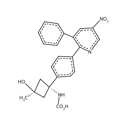 C[C@]1(O)C[C@@](NC(=O)O)(c2ccc(-c3ncc([N+](=O)[O-])cc3-c3ccccc3)cc2)C1